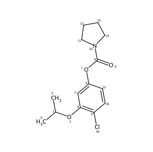 CC(C)Oc1cc(OC(=O)N2CCCC2)ccc1Cl